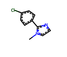 Cn1ccnc1-c1ccc(Cl)cc1